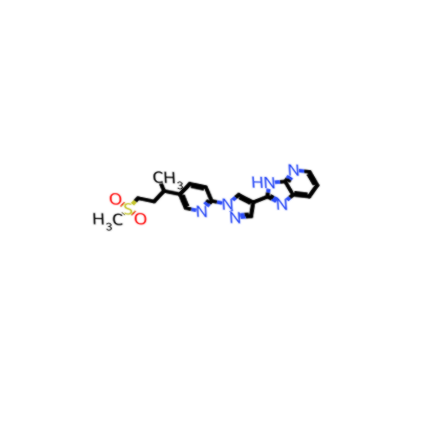 CC(CCS(C)(=O)=O)c1ccc(-n2cc(-c3nc4cccnc4[nH]3)cn2)nc1